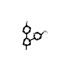 Cc1ccc(-c2ccc(Cl)cc2)c(-c2ccc(N)cn2)c1